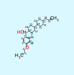 CCCOc1ccc(C(O)C2CCC(C3CCC(CCC)CC3)CC2)c(F)c1F